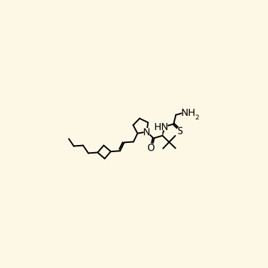 CCCCC1CC(/C=C/CC2CCCN2C(=O)[C@@H](NC(=S)CN)C(C)(C)C)C1